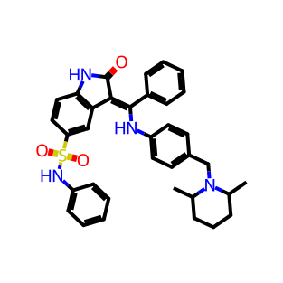 CC1CCCC(C)N1Cc1ccc(NC(=C2C(=O)Nc3ccc(S(=O)(=O)Nc4ccccc4)cc32)c2ccccc2)cc1